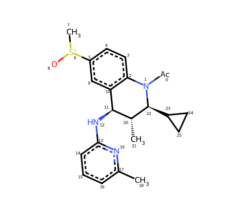 CC(=O)N1c2ccc([S+](C)[O-])cc2[C@H](Nc2cccc(C)n2)[C@@H](C)[C@@H]1C1CC1